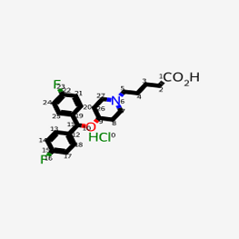 Cl.O=C(O)CCCCN1CCC(OC(c2ccc(F)cc2)c2ccc(F)cc2)CC1